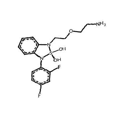 NCCOCCN1c2ccccc2N(c2ccc(F)cc2F)S1(O)O